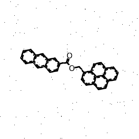 O=C(OCc1ccc2ccc3cccc4ccc1c2c34)c1ccc2cc3ccccc3cc2c1